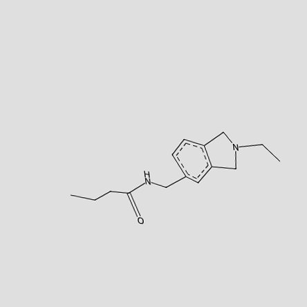 CCCC(=O)NCc1ccc2c(c1)CN(CC)C2